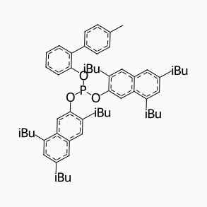 CCC(C)c1cc(C(C)CC)c2cc(OP(Oc3ccccc3-c3ccc(C)cc3)Oc3cc4c(C(C)CC)cc(C(C)CC)cc4cc3C(C)CC)c(C(C)CC)cc2c1